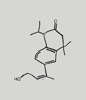 C/C(=C/CO)c1ccc2c(c1)C(C)(C)CC(=O)N2C(C)C